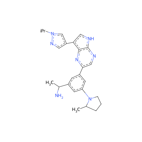 CC(N)c1cc(-c2cnc3[nH]cc(-c4cnn(C(C)C)c4)c3n2)cc(N2CCCC2C)c1